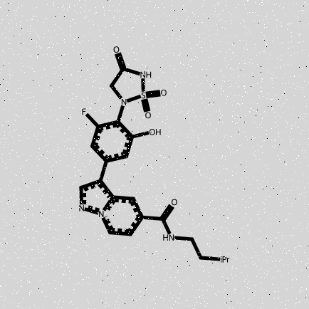 CC(C)CCNC(=O)c1ccn2ncc(-c3cc(O)c(N4CC(=O)NS4(=O)=O)c(F)c3)c2c1